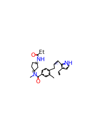 C=Cc1cc[nH]c1/C=C\Cc1ccc(C(=O)N(C)[C@@H]2CC[C@H](NC(=O)CC)C2)cc1C